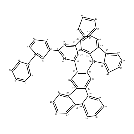 c1ccc(-c2cccc(-c3nc(-c4ccccc4)nc(-c4cc5c6ccccc6c6ccccc6c5cc4-n4c5ccccc5c5ccccc54)n3)c2)cc1